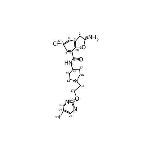 NC1Cc2cc(Cl)cc(C(=O)NC3CCN(CCOc4ncc(F)cn4)CC3)c2O1